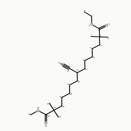 CCOC(=O)C(C)(C)CCCCCC(C#N)CCCCCC(C)(C)C(=O)OC